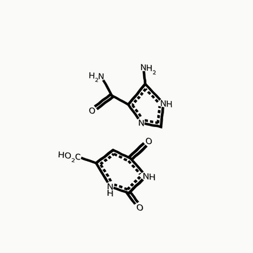 NC(=O)c1nc[nH]c1N.O=C(O)c1cc(=O)[nH]c(=O)[nH]1